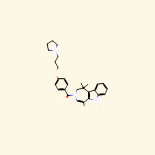 CC1(C)CN(C(=O)c2ccc(OCCCN3CCCC3)cc2)C=C(C(=O)O)c2[nH]c3ccccc3c21